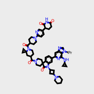 CC(C)n1cnc2cc(-c3ccc4c(c3)N(C3CC(N5CCCCC5)C3)C(=O)C43CCN(C(=O)C4CCN(C(=O)C5CCN(c6ccc(C7CCC(=O)NC7=O)cn6)CC5)C5(CC5)C4)CC3)nc(NC3CC3)c21